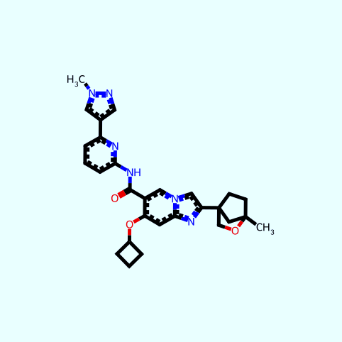 Cn1cc(-c2cccc(NC(=O)c3cn4cc(C56CCC(C)(C5)OC6)nc4cc3OC3CCC3)n2)cn1